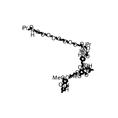 COc1cc2c(cc1OCCCCCOc1cc3c(cc1OC)C(=O)N1C=C(C)C[C@H]1[C@H](O)N3C(=O)OCc1ccc(NC(=O)[C@H](C)NC(=O)[C@@H](NC(=O)CCOCCOCCOCCOCCOCCOCCOCCOCCNC(=O)CC(C)C)C(C)C)cc1)N=C[C@@H]1CC(C)=CN1C2=O